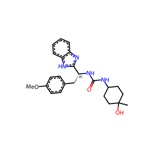 COc1ccc(C[C@@H](NC(=O)NC2CCC(C)(O)CC2)c2nc3ccccc3[nH]2)cc1